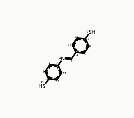 Sc1ccc(/C=N/c2ccc(S)cc2)cc1